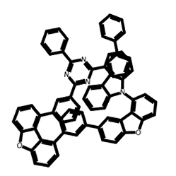 c1ccc(-c2ccc3c(c2)c2ccccc2n3-c2cccc3oc4ccc(-c5cccc(-c6cccc7oc8cccc(-c9cccc(-c%10nc(-c%11ccccc%11)nc(-c%11ccccc%11)n%10)c9)c8c67)c5)cc4c23)cc1